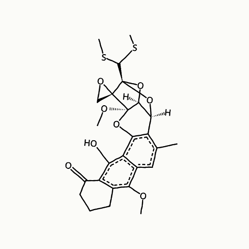 COc1c2c(c(O)c3c4c(c(C)cc13)[C@@H]1O[C@@]3(C(SC)SC)O[C@@H]1[C@@](OC)(O4)[C@@]31CO1)C(=O)CCC2